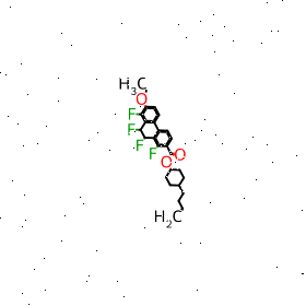 C=CCCC1CCC(OC(=O)c2ccc3c(c2F)C(F)C(F)c2c-3ccc(OCC)c2F)CC1